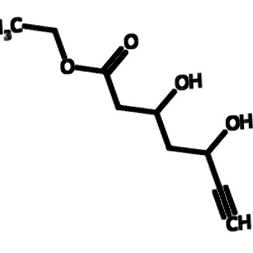 C#CC(O)CC(O)CC(=O)OCC